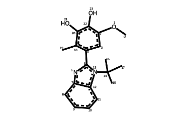 COc1cc(-c2nc3ccccc3n2C(C)(C)C)c(C)c(O)c1O